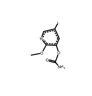 COc1ncc(I)cc1OC(N)=O